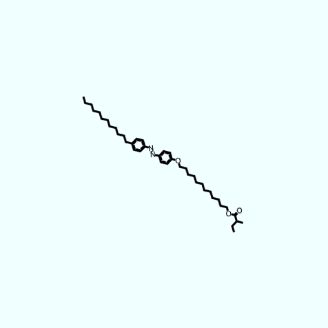 CCCCCCCCCCCCc1ccc(/N=N/c2ccc(OCCCCCCCCCCCCOC(=O)C(C)CC)cc2)cc1